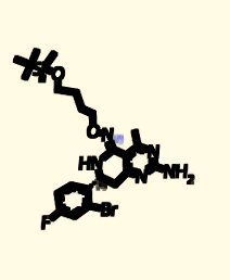 Cc1nc(N)nc2c1/C(=N/OCCCCO[Si](C)(C)C(C)(C)C)N[C@@H](c1ccc(F)cc1Br)C2